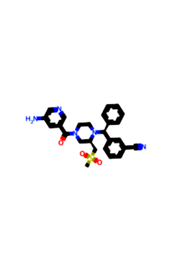 CS(=O)(=O)C[C@H]1CN(C(=O)c2cncc(N)c2)CCN1[C@@H](c1ccccc1)c1cccc(C#N)c1